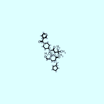 CN(C(=O)[C@@H](NC(=O)[C@H](CC1CCCC1)CN(O)C=O)C(C)(C)C)C1CCN(C(=O)c2ccsc2)CC1